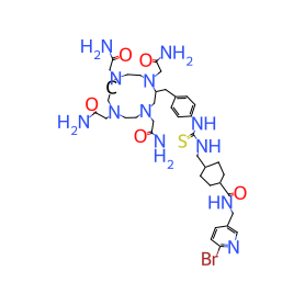 NC(=O)CN1CCN(CC(N)=O)CCN(CC(N)=O)C(Cc2ccc(NC(=S)NCC3CCC(C(=O)NCc4ccc(Br)nc4)CC3)cc2)CN(CC(N)=O)CC1